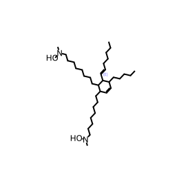 CCCCC/C=C/C1C(CCCCC)C=CC(CCCCCCCCN(C)O)C1CCCCCCCCN(C)O